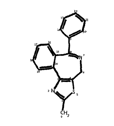 Cc1nc2c(s1)CN=C(c1ccccc1)c1ccccc1-2